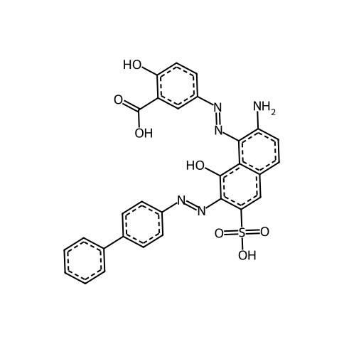 Nc1ccc2cc(S(=O)(=O)O)c(N=Nc3ccc(-c4ccccc4)cc3)c(O)c2c1N=Nc1ccc(O)c(C(=O)O)c1